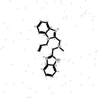 C=CCn1c(CN(C)Cc2nc3ccccc3[nH]2)nc2ccccc21